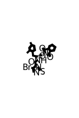 CSc1ncc(Br)c(C(=O)N[C@@H](CON2C(=O)c3ccccc3C2=O)Cc2ccc(C)cc2C)n1